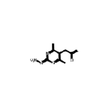 C=C(Cl)CC1C(C)=NC(=N[N+](=O)[O-])N=C1C